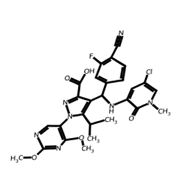 COc1ncc(-n2nc(C(=O)O)c(C(Nc3cc(Cl)cn(C)c3=O)c3ccc(C#N)c(F)c3)c2C(C)C)c(OC)n1